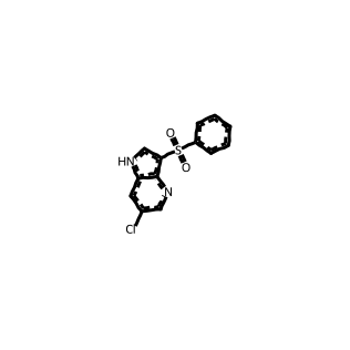 O=S(=O)(c1ccccc1)c1c[nH]c2cc(Cl)cnc12